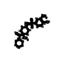 CC1(C(=O)N2CCOCC2)CCC(NS(=O)(=O)c2ccc(Cl)c([N+](=O)[O-])c2)CC1